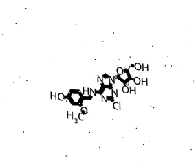 COc1cc(O)ccc1CNc1nc(Cl)nc2c1ncn2[C@@H]1O[C@H](CO)[C@@H](O)[C@H]1O